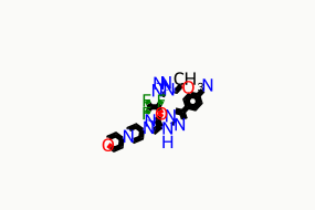 CC(Cn1cnnn1)Oc1cc(-c2cnc(Nc3cn(C4CCN(C5CCOCC5)CC4)nc3OC(F)C(F)F)nc2)ccc1C#N